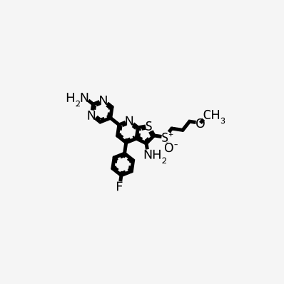 COCCC[S+]([O-])c1sc2nc(-c3cnc(N)nc3)cc(-c3ccc(F)cc3)c2c1N